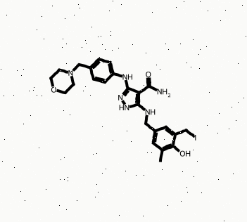 Cc1cc(CNc2[nH]nc(Nc3ccc(CN4CCOCC4)cc3)c2C(N)=O)cc(CI)c1O